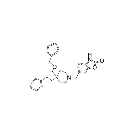 O=c1[nH]c2ccc(CN3CCC(CCc4ccccc4)(COCc4ccccc4)CC3)cc2o1